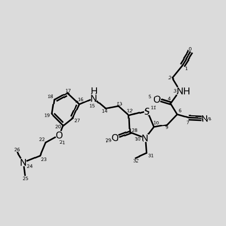 C#CCNC(=O)C(C#N)CC1SC(CCNc2cccc(OCCN(C)C)c2)C(=O)N1CC